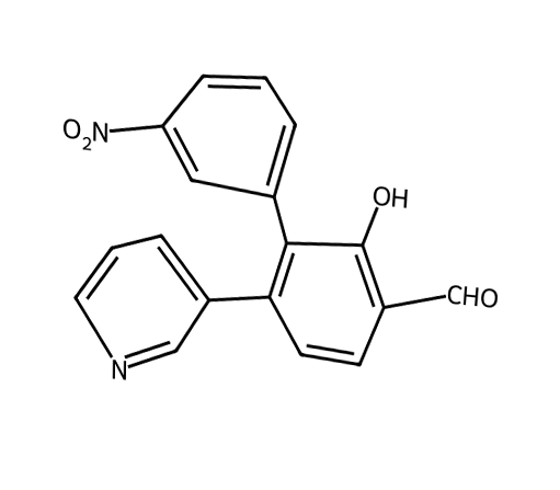 O=Cc1ccc(-c2cccnc2)c(-c2cccc([N+](=O)[O-])c2)c1O